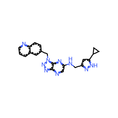 c1cnc2ccc(Cn3nnc4ncc(NCc5cc(C6CC6)[nH]n5)nc43)cc2c1